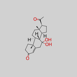 CC(=O)[C@H]1CC[C@H]2[C@H]3[C@H](CC[C@]12C)[C@@]1(C)CCC(=O)C=C1CC3(O)O